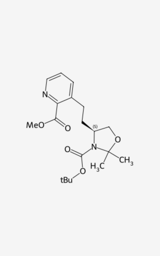 COC(=O)c1ncccc1CC[C@H]1COC(C)(C)N1C(=O)OC(C)(C)C